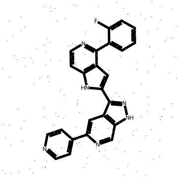 Fc1ccccc1-c1nccc2[nH]c(-c3n[nH]c4cnc(-c5ccncc5)cc34)cc12